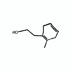 CC1=C(CCO)CC=CC1